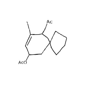 CC(=O)OC1C=C(C)C(C(C)=O)C2(CCCC2)C1